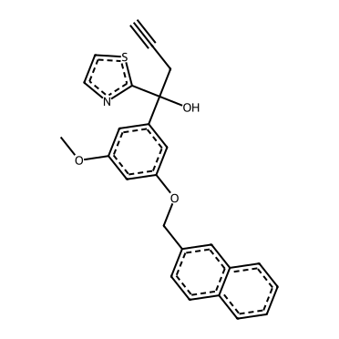 C#CCC(O)(c1cc(OC)cc(OCc2ccc3ccccc3c2)c1)c1nccs1